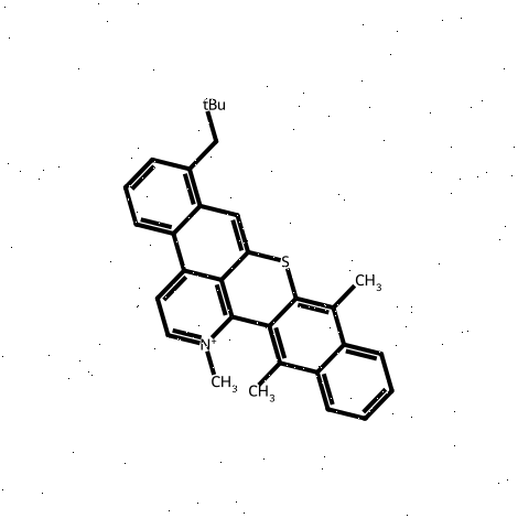 Cc1c2c(c(C)c3ccccc13)-c1c3c(cc4c(CC(C)(C)C)cccc4c3cc[n+]1C)S2